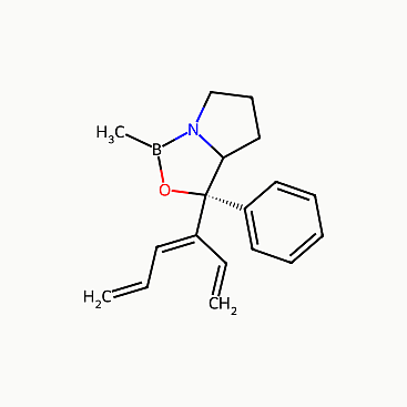 C=C/C=C(\C=C)[C@@]1(c2ccccc2)OB(C)N2CCCC21